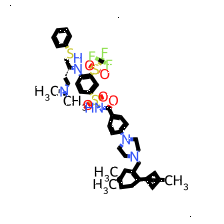 CN(C)CC[C@H](CSc1ccccc1)Nc1ccc(S(=O)(=O)NC(=O)c2ccc(N3CCN(CC4=C(C56CC(C)(C5)C6)CCC(C)(C)C4)CC3)cc2)cc1S(=O)(=O)C(F)(F)F